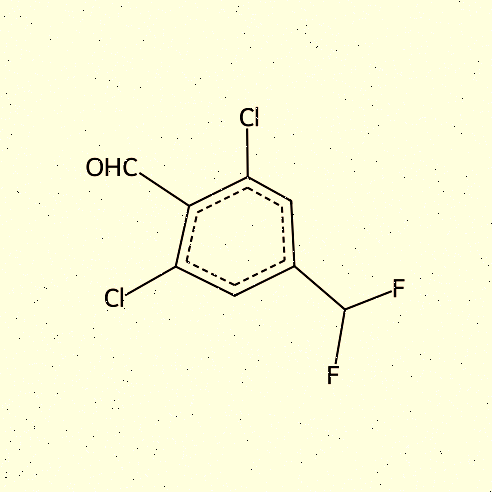 O=Cc1c(Cl)cc(C(F)F)cc1Cl